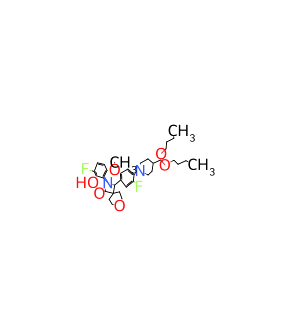 CCCCOC(OCCCC)C1CCN(c2cc(OC)c(C3N(c4cccc(F)c4O)C(=O)C34CCOCC4)cc2F)CC1